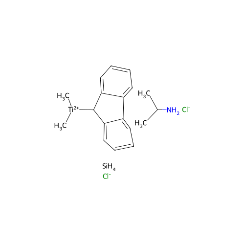 CC(C)N.[CH3][Ti+2]([CH3])[CH]1c2ccccc2-c2ccccc21.[Cl-].[Cl-].[SiH4]